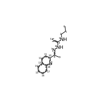 CCCNC(=S)NN=C(C)c1ccc2ccccc2n1